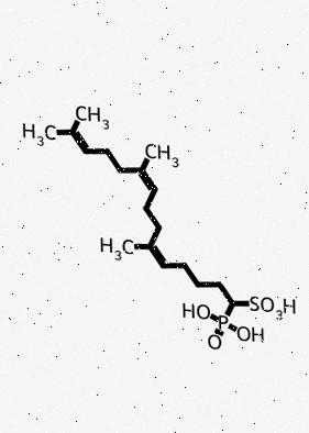 CC(C)=CCCC(C)=CCCC(C)=CCCCC(P(=O)(O)O)S(=O)(=O)O